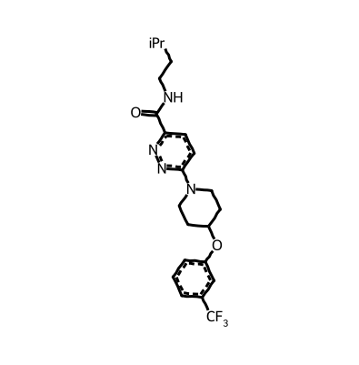 CC(C)CCNC(=O)c1ccc(N2CCC(Oc3cccc(C(F)(F)F)c3)CC2)nn1